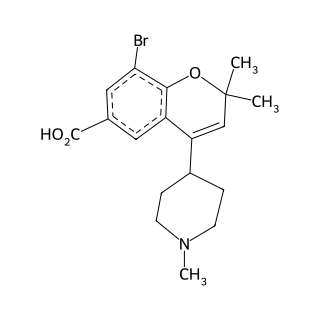 CN1CCC(C2=CC(C)(C)Oc3c(Br)cc(C(=O)O)cc32)CC1